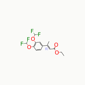 CCOC(=O)/C=C(\C)c1ccc(OC(F)F)c(OC(F)F)c1